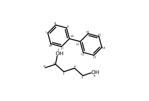 CC(O)CCCO.c1ccc(-c2ccccc2)cc1